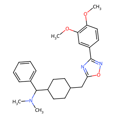 COc1ccc(-c2noc(CC3CCC(C(c4ccccc4)N(C)C)CC3)n2)cc1OC